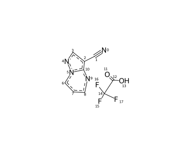 N#Cc1cnn2cccnc12.O=C(O)C(F)(F)F